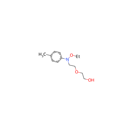 CCON(CCOCCO)c1ccc(C)cc1